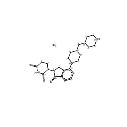 Cl.O=C1CCC(N2Cc3c(cccc3N3CCN(CC4CCNCC4)CC3)C2=O)C(=O)N1